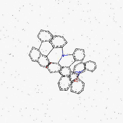 c1ccc(-c2cccc3cccc(-c4ccccc4N(c4cccc(-c5cccc6oc7ccccc7c56)c4)c4ccccc4-c4cccc5c6ccccc6n(-c6ccccc6)c45)c23)cc1